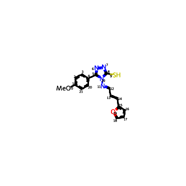 COc1ccc(-c2nnc(S)n2N=CC=Cc2ccco2)cc1